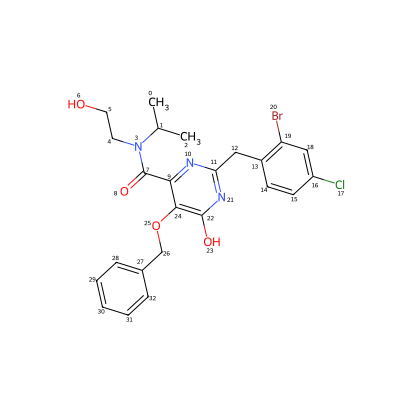 CC(C)N(CCO)C(=O)c1nc(Cc2ccc(Cl)cc2Br)nc(O)c1OCc1ccccc1